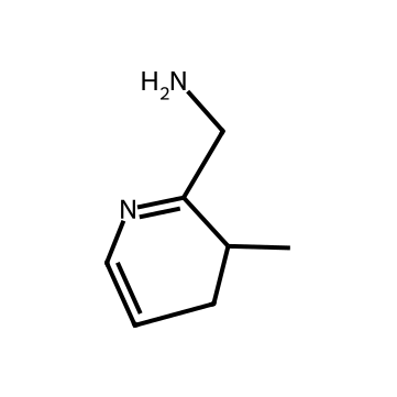 CC1CC=CN=C1CN